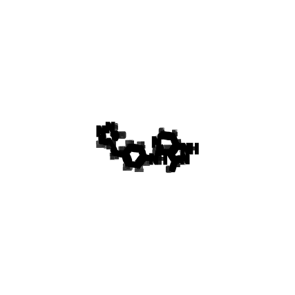 Cc1n[nH]c2ccnc(Nc3ccc(Cn4cnnc4)cc3)c12